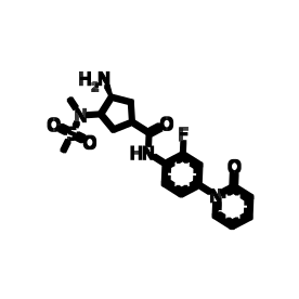 CN(C1CC(C(=O)Nc2ccc(-n3ccccc3=O)cc2F)C[C@@H]1N)S(C)(=O)=O